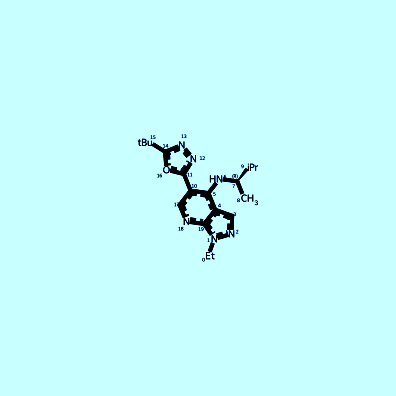 CCn1ncc2c(N[C@H](C)C(C)C)c(-c3nnc(C(C)(C)C)o3)cnc21